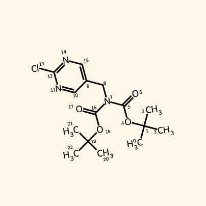 CC(C)(C)OC(=O)N(Cc1cnc(Cl)nc1)C(=O)OC(C)(C)C